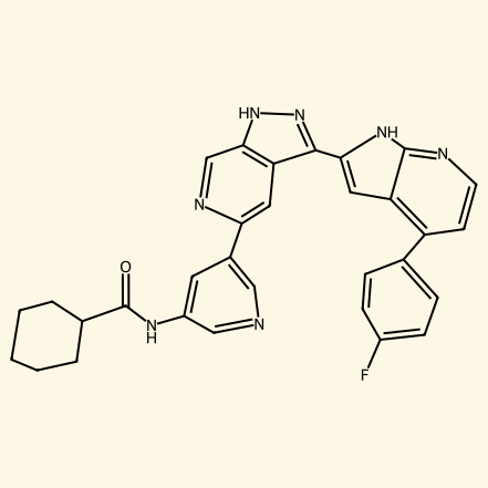 O=C(Nc1cncc(-c2cc3c(-c4cc5c(-c6ccc(F)cc6)ccnc5[nH]4)n[nH]c3cn2)c1)C1CCCCC1